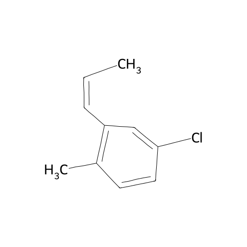 C/C=C\c1cc(Cl)ccc1C